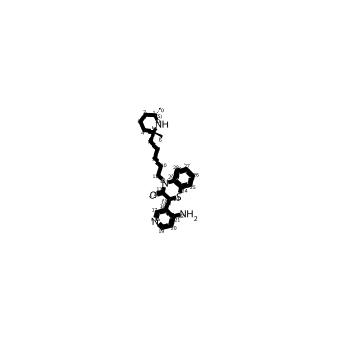 C[C@H]1CCC[C@@](C)(CCCCCN2C(=O)C(c3cnccc3N)Sc3ccccc32)N1